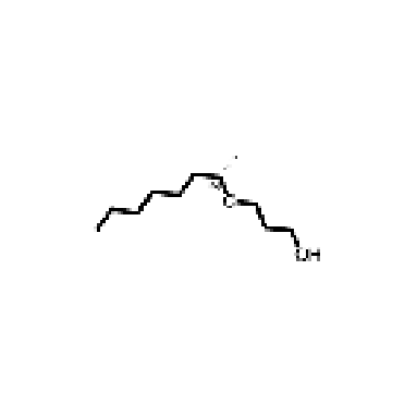 CCCCCC[C@H](C)OCCCO